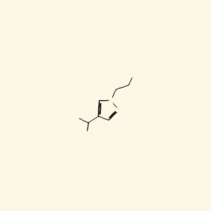 CCCn1cc(C(C)C)cn1